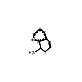 NC1CC=Cc2cccnc21